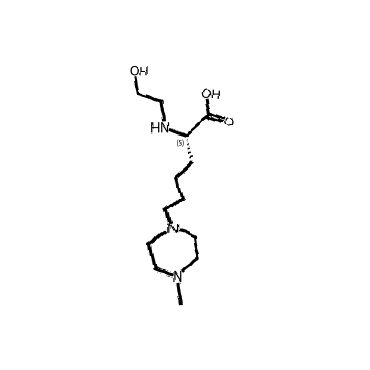 CN1CCN(CCCC[C@H](NCCO)C(=O)O)CC1